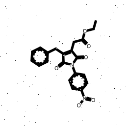 CCOC(=O)CC1=C(Cc2ccccc2)C(=O)N(c2ccc([N+](=O)[O-])cc2)C1=O